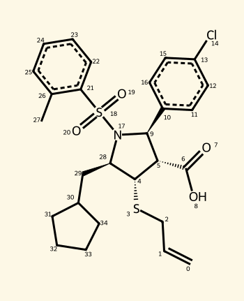 C=CCS[C@H]1[C@@H](C(=O)O)[C@H](c2ccc(Cl)cc2)N(S(=O)(=O)c2ccccc2C)[C@@H]1CC1CCCC1